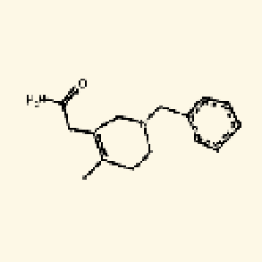 CC1=C(CC(N)=O)CN(Cc2ccccc2)CC1